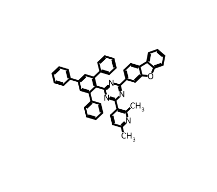 Cc1ccc(-c2nc(-c3ccc4c(c3)oc3ccccc34)nc(-c3c(-c4ccccc4)cc(-c4ccccc4)cc3-c3ccccc3)n2)c(C)n1